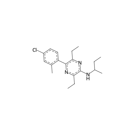 CCc1nc(-c2ccc(Cl)cc2C)c(CC)nc1NC(C)CC